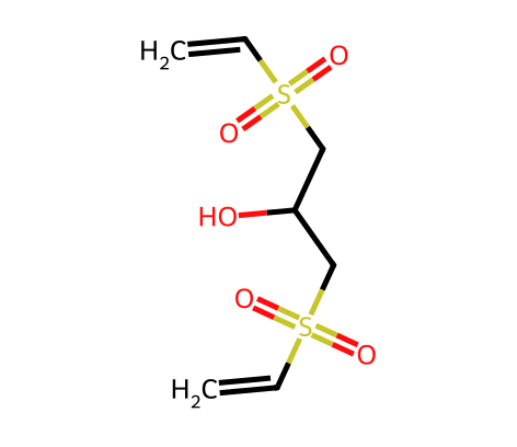 C=CS(=O)(=O)CC(O)CS(=O)(=O)C=C